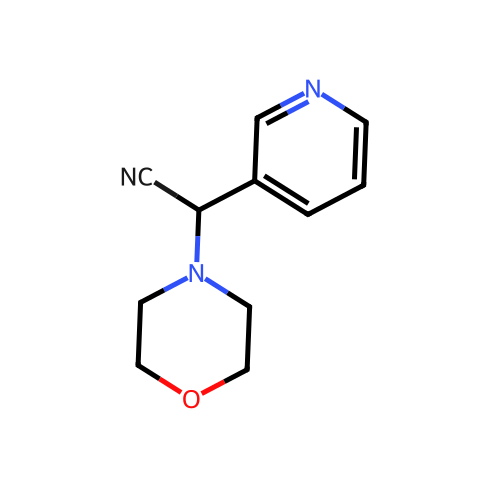 N#CC(c1cccnc1)N1CCOCC1